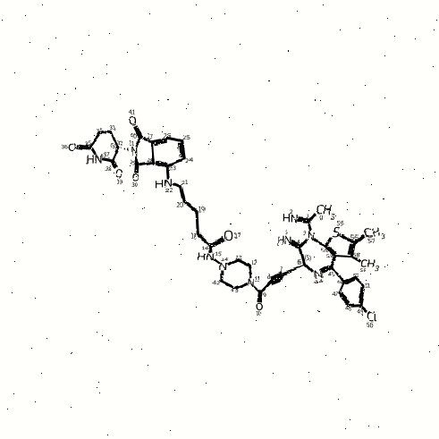 CC(=N)N1C(=N)[C@H](C#CC(=O)N2CCN(NC(=O)CCCCNc3cccc4c3C(=O)N([C@H]3CCC(=O)NC3=O)C4=O)CC2)N=C(c2ccc(Cl)cc2)c2c1sc(C)c2C